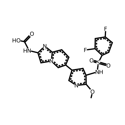 COc1ncc(-c2ccc3nc(NC(=O)O)cn3c2)cc1NS(=O)(=O)c1ccc(F)cc1F